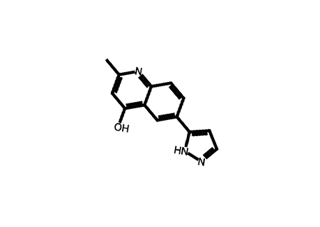 Cc1cc(O)c2cc(-c3ccn[nH]3)ccc2n1